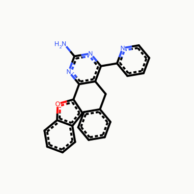 Nc1nc(-c2ccccn2)c(Cc2ccccc2)c(-c2cc3ccccc3o2)n1